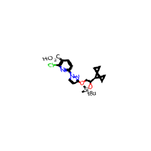 CC(C)(C)[Si](C)(C)OC(COc1ccn(-c2ccc(C(=O)O)c(Cl)n2)n1)C1C2(CC2)C12CC2